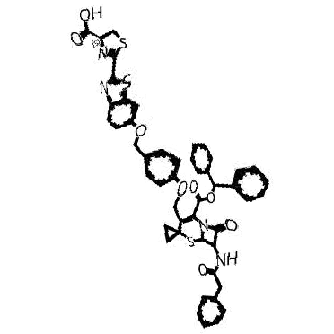 O=C(Cc1ccccc1)NC1C(=O)N2C(C(=O)OC(c3ccccc3)c3ccccc3)=C(COc3ccc(COc4ccc5nc(C6=N[C@@H](C(=O)O)CS6)sc5c4)cc3)C3(CC3)SC12